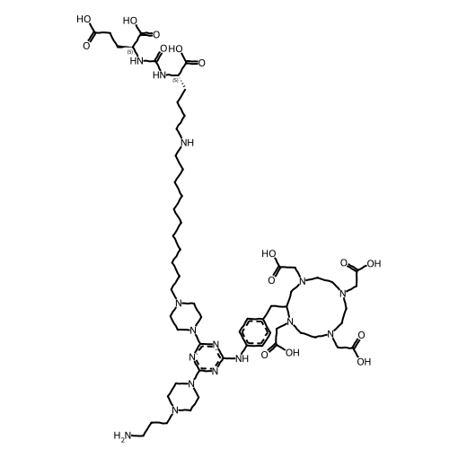 NCCCN1CCN(c2nc(Nc3ccc(CC4CN(CC(=O)O)CCN(CC(=O)O)CCN(CC(=O)O)CCN4CC(=O)O)cc3)nc(N3CCN(CCCCCCCCCCCNCCCC[C@H](NC(=O)N[C@@H](CCC(=O)O)C(=O)O)C(=O)O)CC3)n2)CC1